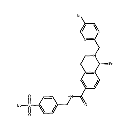 CCS(=O)(=O)c1ccc(CNC(=O)c2ccc3c(c2)CCN(Cc2ncc(Br)cn2)[C@H]3C(C)C)cc1